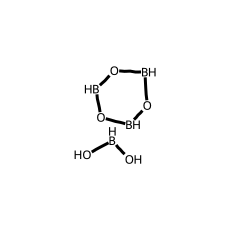 B1OBOBO1.OBO